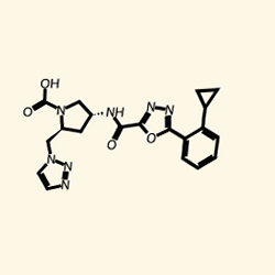 O=C(N[C@@H]1C[C@@H](Cn2ccnn2)N(C(=O)O)C1)c1nnc(-c2ccccc2C2CC2)o1